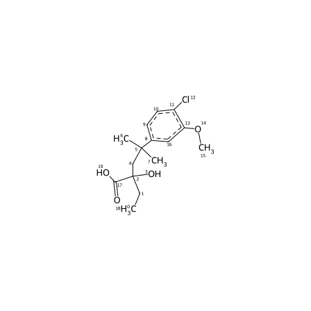 CCC(O)(CC(C)(C)c1ccc(Cl)c(OC)c1)C(=O)O